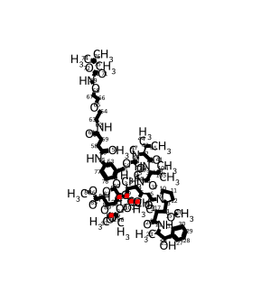 CC[C@H](C)[C@@H]([C@@H](CC(=O)N1CCC[C@H]1[C@H](OC)[C@@H](C)C(=O)N[C@H](C)[C@@H](O)c1ccccc1)OC)N(C)C(=O)[C@@H](NC(=O)[C@H](C(C)C)N(C)C(=O)OCc1cc(NC(=O)CCC(=O)NCCOCCONC(=O)OC(C)(C)C)ccc1O[C@@H]1OC(C(=O)OC)[C@@H](OC(C)=O)C(OC(C)=O)C1OC(C)=O)C(C)C